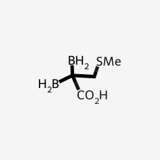 BC(B)(CSC)C(=O)O